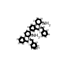 Br.N[C@H]1CCCC[C@@H]1N(Cc1ccccc1)Cc1ccccc1.N[C@H]1CCCC[C@@H]1N(Cc1ccccc1)Cc1ccccc1